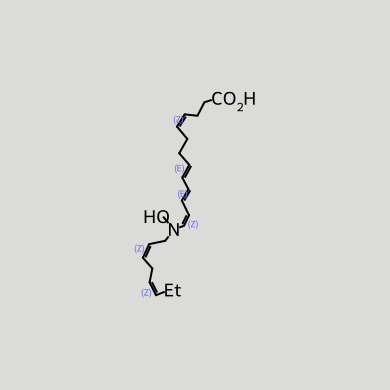 CC/C=C\C/C=C\CN(O)\C=C/C=C/C=C/CC/C=C\CCC(=O)O